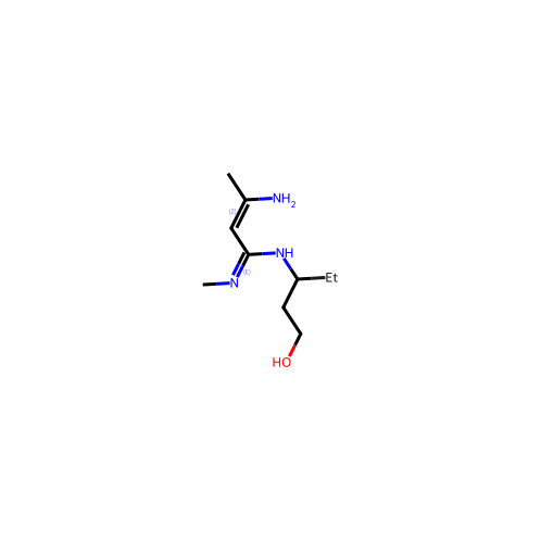 CCC(CCO)NC(/C=C(/C)N)=N/C